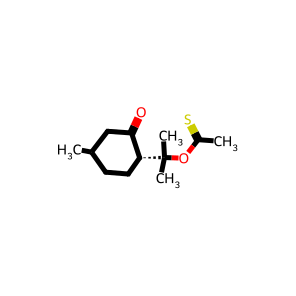 CC(=S)OC(C)(C)[C@@H]1CCC(C)CC1=O